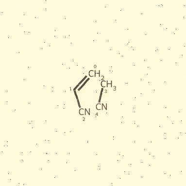 C=CC#N.CC#N